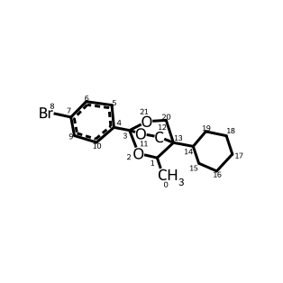 CC1OC2(c3ccc(Br)cc3)OCC1(C1CCCCC1)CO2